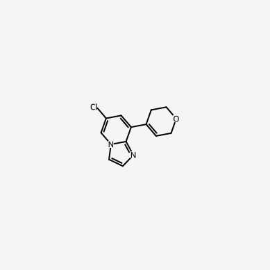 Clc1cc(C2=CCOCC2)c2nccn2c1